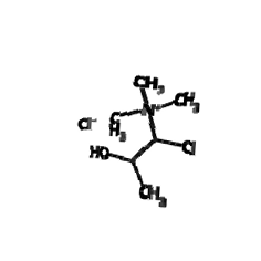 CC(O)C(Cl)[N+](C)(C)C.[Cl-]